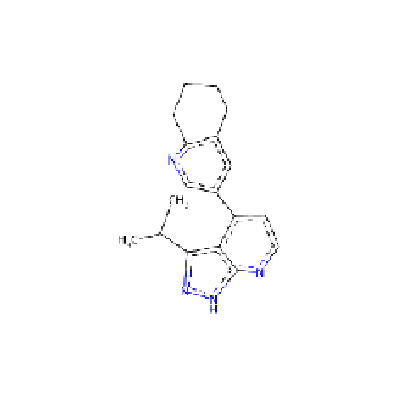 CC(C)c1n[nH]c2nccc(-c3cnc4c(c3)CCCC4)c12